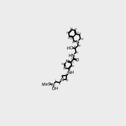 CSN(O)CCN1CC(Nc2cc(C(=O)NCC(O)CN3CCc4ccccc4C3)ncn2)C1